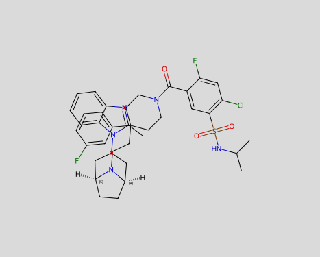 Cc1nc2ccccc2n1C1C[C@H]2CC[C@@H](C1)N2CCC1(c2cccc(F)c2)CCN(C(=O)c2cc(S(=O)(=O)NC(C)C)c(Cl)cc2F)CC1